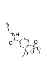 C#CCNC(=O)c1ccc(S(=O)(=O)OC)c(OC)c1